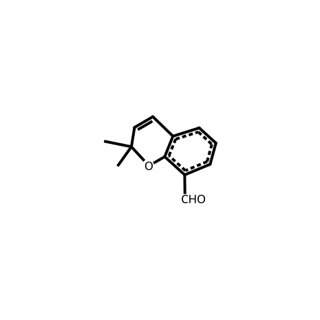 CC1(C)C=Cc2cccc(C=O)c2O1